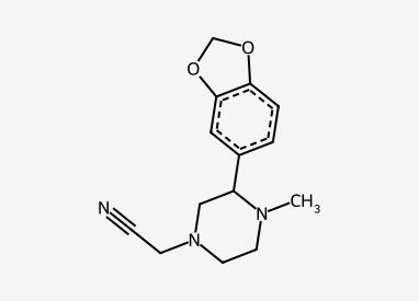 CN1CCN(CC#N)CC1c1ccc2c(c1)OCO2